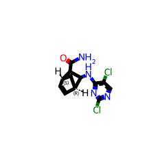 NC(=O)C1C(Nc2nc(Cl)ncc2Cl)[C@H]2C=C[C@@H]1C2